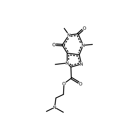 CN(C)CCOC(=O)c1nc2c(c(=O)n(C)c(=O)n2C)n1C